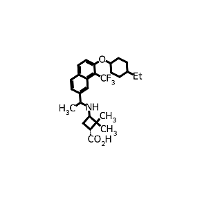 CCC1CCC(Oc2ccc3ccc(C(C)NC4C[C@@H](C(=O)O)C4(C)C)cc3c2C(F)(F)F)CC1